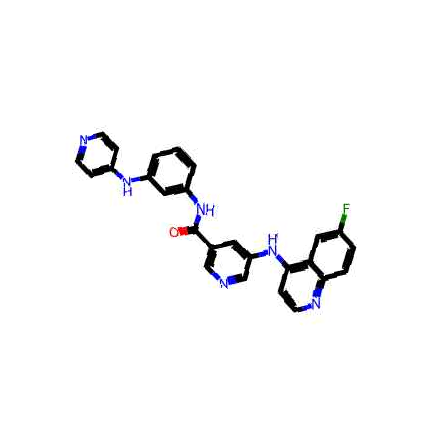 O=C(Nc1cccc(Nc2ccncc2)c1)c1cncc(Nc2ccnc3ccc(F)cc23)c1